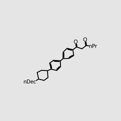 CCCCCCCCCCC1CCC(c2ccc(-c3ccc(C(=O)CC(=O)CCC)cc3)cc2)CC1